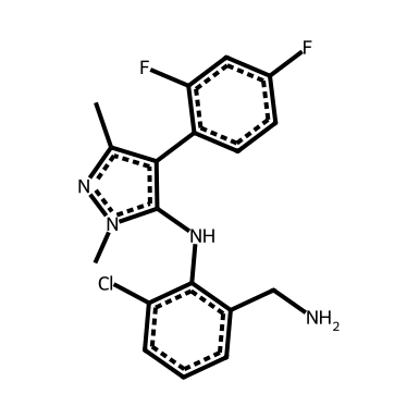 Cc1nn(C)c(Nc2c(Cl)cccc2CN)c1-c1ccc(F)cc1F